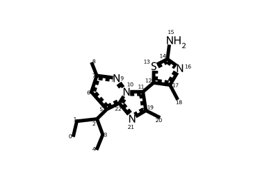 CCC(CC)c1cc(C)nn2c(-c3sc(N)nc3C)c(C)nc12